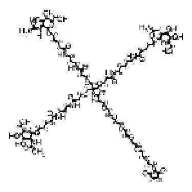 CC(=O)C[C@H]1[C@H](OCCCCC(=O)NCCCCCNC(=O)CCOCC(COCCC(=O)NCCCNC(=O)CCCCO[C@@H]2O[C@H](CO)[C@H](O)[C@H](O)[C@H]2NC(C)=O)(COCCC(=O)NCCCNC(=O)CCCCO[C@@H]2O[C@H](CO)[C@H](O)[C@H](O)[C@H]2NC(C)=O)NC(=O)CCOCCOCCOCCOCCOCCOCCN2C(=O)C=CC2=O)O[C@H](CO)[C@H](O)[C@@H]1O